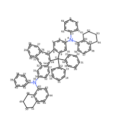 c1ccc(N(c2ccc3c(c2)C(c2ccccc2)(c2ccccc2)c2c-3c3ccccc3c3cc(N(c4ccccc4)c4cccc5c4CCCC5)ccc23)c2cccc3c2CCCC3)cc1